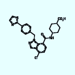 O=C(NC1CCC(C(=O)O)CC1)c1ccc(Cl)c2cnn(Cc3ccc(-c4nccs4)cc3)c12